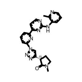 Cc1ncccc1Nc1nccc(-c2cccc(-n3cc([C@@H]4CCN(C)C4=O)nn3)n2)n1